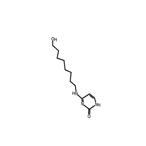 O=c1nc(NCCCCCCCCO)cc[nH]1